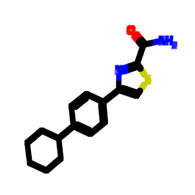 NC(=O)c1nc(-c2ccc(C3CCCCC3)cc2)cs1